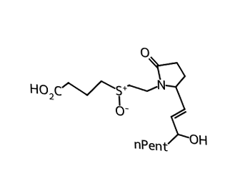 CCCCCC(O)C=CC1CCC(=O)N1CC[S+]([O-])CCCC(=O)O